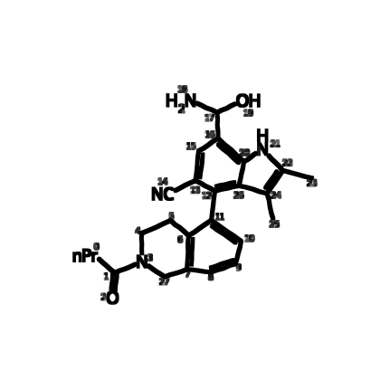 CCCC(=O)N1CCc2c(cccc2-c2c(C#N)cc(C(N)O)c3[nH]c(C)c(C)c23)C1